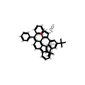 CC(C)(C)c1cc(C2=C(c3c4c(ccc3=C(c3ccccc3)c3ccccc3)=c3ccccc3=[C]4[Zr+2])CC=C2)cc(C(C)(C)C)c1.[Cl-].[Cl-]